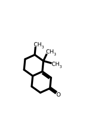 CC1CCC2CCC(=O)C=C2C1(C)C